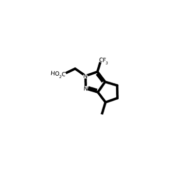 CC1CCc2c1nn(CC(=O)O)c2C(F)(F)F